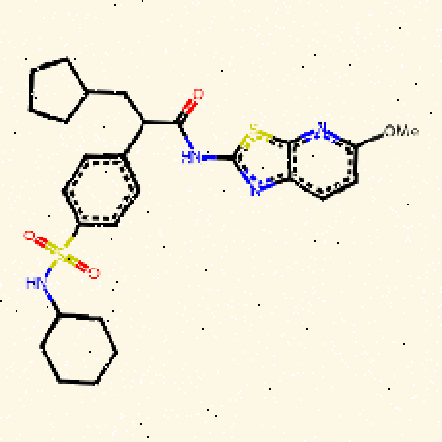 COc1ccc2nc(NC(=O)C(CC3CCCC3)c3ccc(S(=O)(=O)NC4CCCCC4)cc3)sc2n1